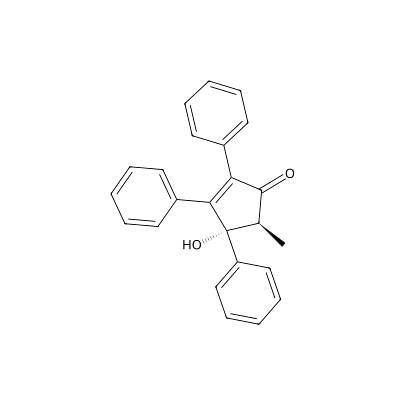 C[C@@H]1C(=O)C(c2ccccc2)=C(c2ccccc2)[C@]1(O)c1ccccc1